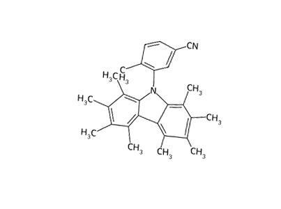 Cc1ccc(C#N)cc1-n1c2c(C)c(C)c(C)c(C)c2c2c(C)c(C)c(C)c(C)c21